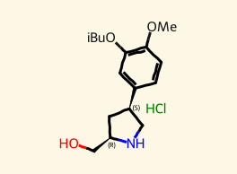 COc1ccc([C@H]2CN[C@@H](CO)C2)cc1OCC(C)C.Cl